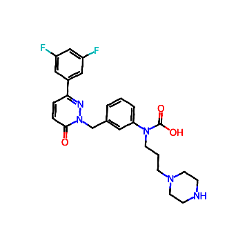 O=C(O)N(CCCN1CCNCC1)c1cccc(Cn2nc(-c3cc(F)cc(F)c3)ccc2=O)c1